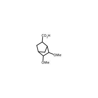 COC1C2CC(C(=O)O)C(C2)C1OC